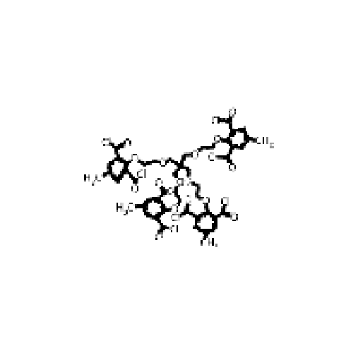 Cc1cc(C(=O)Cl)c(OCCOCC(COCCOc2c(C(=O)Cl)cc(C)cc2C(=O)Cl)(COCCOc2c(C(=O)Cl)cc(C)cc2C(=O)Cl)COCCOc2c(C(=O)Cl)cc(C)cc2C(=O)Cl)c(C(=O)Cl)c1